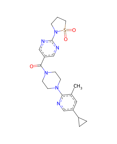 Cc1cc(C2CC2)cnc1N1CCN(C(=O)c2cnc(N3CCCS3(=O)=O)nc2)CC1